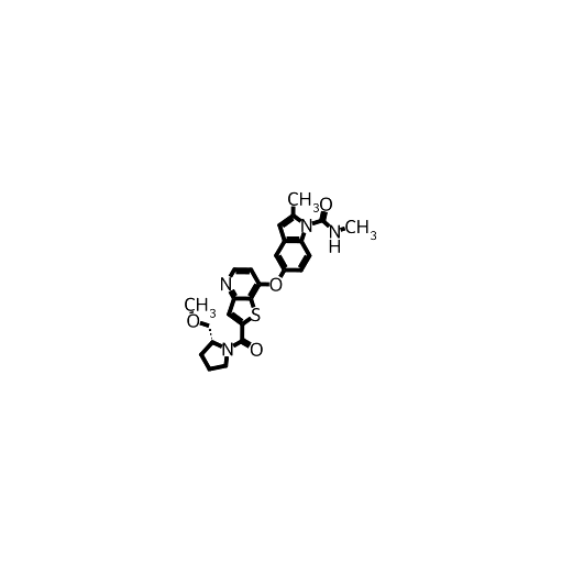 CNC(=O)n1c(C)cc2cc(Oc3ccnc4cc(C(=O)N5CCC[C@@H]5COC)sc34)ccc21